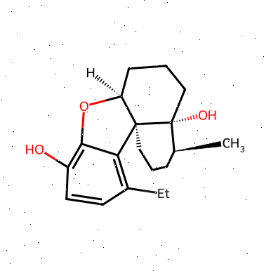 CCc1ccc(O)c2c1[C@]13CCC[C@H](C)[C@]1(O)CCC[C@@H]3O2